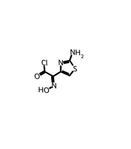 Nc1nc(C(=NO)C(=O)Cl)cs1